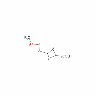 O=C(O)C1CC(CCOC(F)(F)F)C1